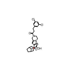 O=C(O)C1CC2CCC(C1)N2C(=O)c1cc2n(n1)CCN(C(=O)CCc1cc(Cl)cc(Cl)c1)C2